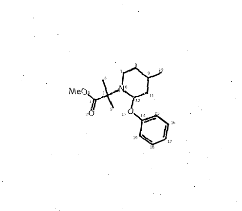 COC(=O)C(C)(C)N1CCC(C)CC1Oc1ccccc1